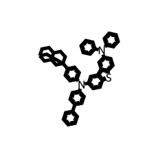 c1ccc(-c2ccc(N(c3ccc(C45CCC6CCC(CC6C4)C5)cc3)c3ccc4sc5ccc(N(c6ccccc6)c6ccccc6)cc5c4c3)cc2)cc1